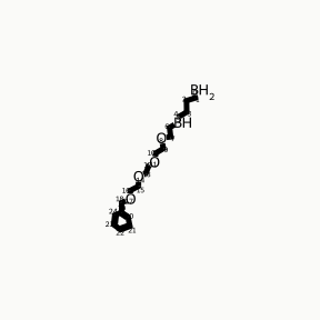 BCCCCBCCOCCOCCOCCOCc1ccccc1